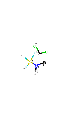 CCN(CC)S(F)(F)F.ClCCl